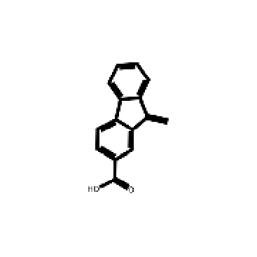 C=C1c2ccccc2-c2ccc(C(=O)O)cc21